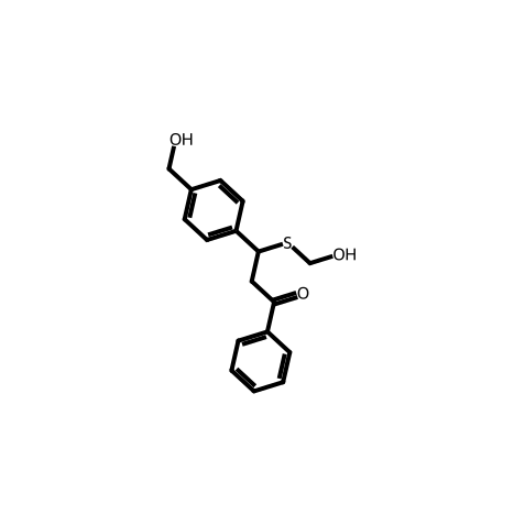 O=C(CC(SCO)c1ccc(CO)cc1)c1ccccc1